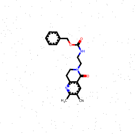 Cc1nc2c(cc1C#N)C(=O)N(CCNC(=O)OCc1ccccc1)CC2